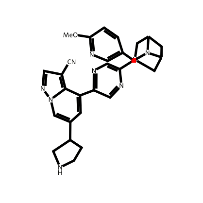 COc1ccc(CN2C3CC2CN(c2cnc(-c4cc(C5CCNC5)cn5ncc(C#N)c45)cn2)C3)cn1